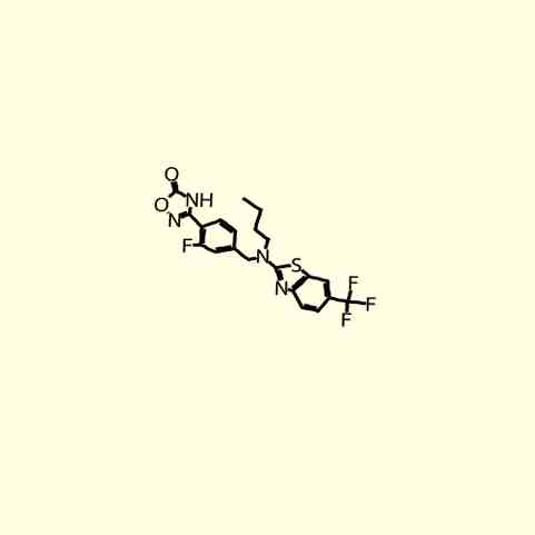 CCCCN(Cc1ccc(-c2noc(=O)[nH]2)c(F)c1)c1nc2ccc(C(F)(F)F)cc2s1